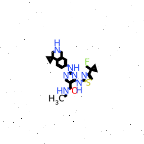 CCNC(=O)c1cnc(Nc2ccc3c(c2)CNCC32CC2)nc1Nc1nc(C2(CF)CC2)cs1